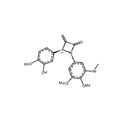 C=C1C(=O)N(c2cc(OC)c(OC)c([Se]C)c2)[C@H]1c1ccc(OC)c(O)c1